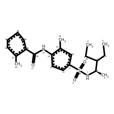 CCC(CC)[C@@H](C)NS(=O)(=O)c1ccc(NC(=O)c2ccccc2C)c(C)c1